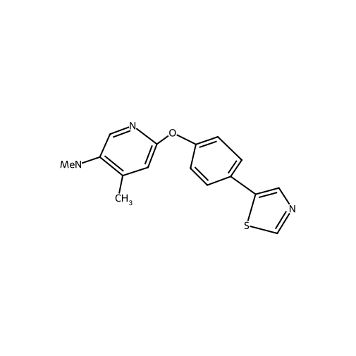 CNc1cnc(Oc2ccc(-c3cncs3)cc2)cc1C